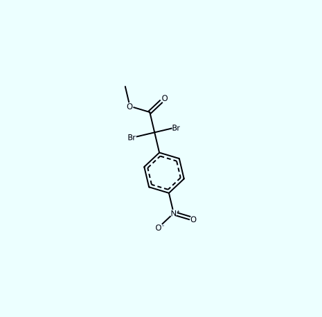 COC(=O)C(Br)(Br)c1ccc([N+](=O)[O-])cc1